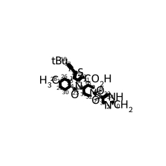 C=C1N=CC(S(=O)(=O)N2CCC(N(c3cc(C#CC(C)(C)C)sc3C(=O)O)C(=O)[C@H]3CC[C@H](C)CC3)CC2)=CN1